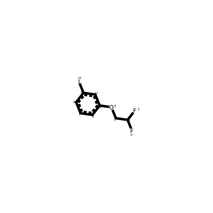 FC(F)COc1cccc(I)c1